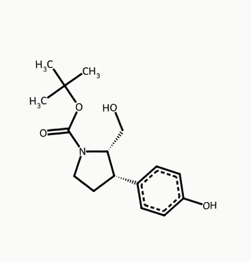 CC(C)(C)OC(=O)N1CC[C@@H](c2ccc(O)cc2)[C@H]1CO